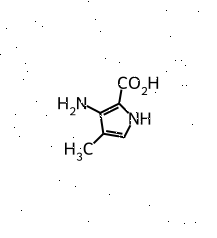 Cc1c[nH]c(C(=O)O)c1N